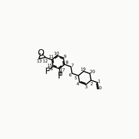 C=CC1C=CC(CCc2ccc(C3CO3)c(F)c2F)CC1